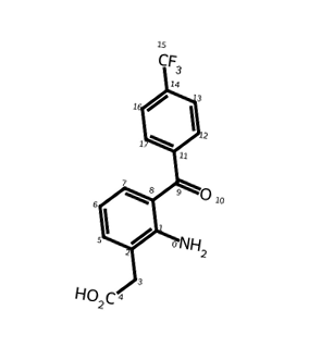 Nc1c(CC(=O)O)cccc1C(=O)c1ccc(C(F)(F)F)cc1